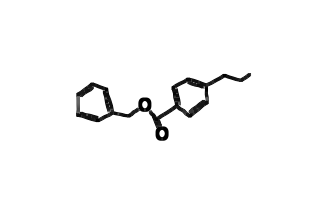 CCCc1ccc(C(=O)OCc2ccccc2)cc1